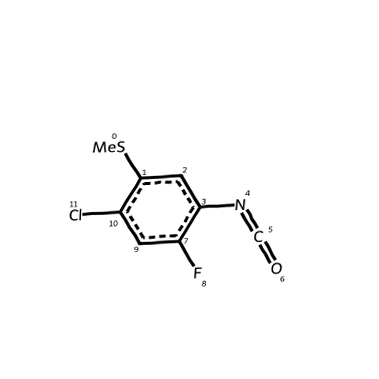 CSc1cc(N=C=O)c(F)cc1Cl